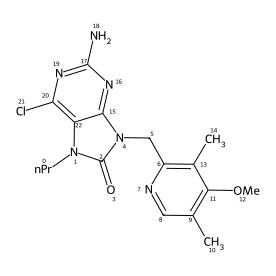 CCCn1c(=O)n(Cc2ncc(C)c(OC)c2C)c2nc(N)nc(Cl)c21